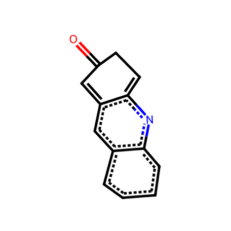 O=C1C=c2cc3ccccc3nc2=CC1